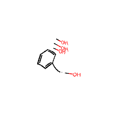 CO.CO.CO.CO.[CH2]c1ccccc1